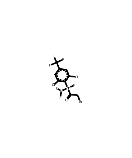 O=C(CBr)[N+](F)(c1c(Cl)cc(C(F)(F)F)cc1Cl)N(F)F